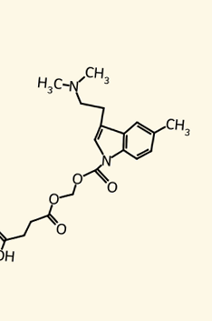 Cc1ccc2c(c1)c(CCN(C)C)cn2C(=O)OCOC(=O)CCC(=O)O